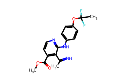 COC(=O)c1ccnc(Nc2ccc(OC(C)(F)F)cc2)c1C(C)=N